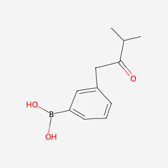 CC(C)C(=O)Cc1cccc(B(O)O)c1